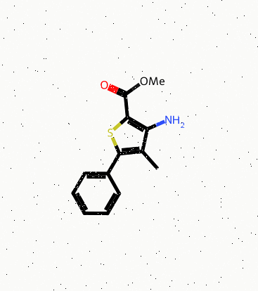 COC(=O)c1sc(-c2ccccc2)c(C)c1N